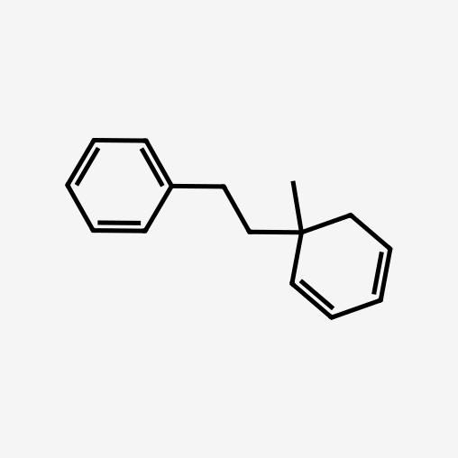 CC1(CCc2ccccc2)C=CC=CC1